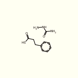 NNC(N)=O.O=C(S)CCc1ccccc1